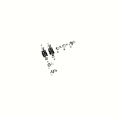 B#N.B#N.[Al+3].[Al+3].[O-2].[O-2].[O-2]